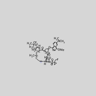 COc1cnc(O[C@@H]2C[C@H]3C(=O)N[C@]4(C(=O)NS(=O)(=O)C5(CF)CC5)C[C@H]4/C=C\CC[C@@H](C)C[C@@H](C)[C@H](NC(=O)OC(C)(C)C(F)(F)F)C(=O)N3C2)c2ccc(N(C)C)cc12